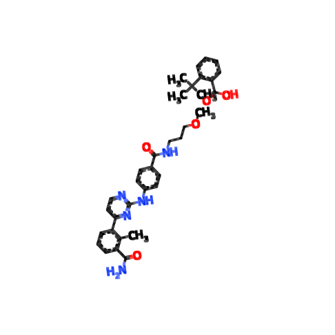 CC(C)(C)c1ccccc1C(=O)O.COCCCNC(=O)c1ccc(Nc2nccc(-c3cccc(C(N)=O)c3C)n2)cc1